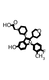 Cc1cc(-n2c(C3CCOCC3)c([C@@H]3CCC[C@H](CC(=O)O)C3)c3cc(O)ccc32)ccc1F